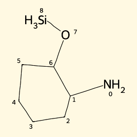 NC1CCCCC1O[SiH3]